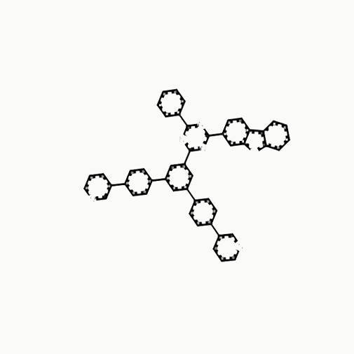 c1ccc(-c2nc(-c3cc(-c4ccc(-c5cccnc5)cc4)cc(-c4ccc(-c5cccnc5)cc4)c3)nc(-c3ccc4c(c3)oc3ccccc34)n2)cc1